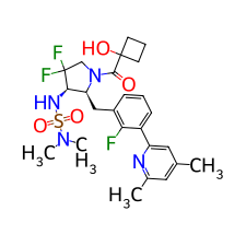 Cc1cc(C)nc(-c2cccc(C[C@H]3[C@@H](NS(=O)(=O)N(C)C)C(F)(F)CN3C(=O)C3(O)CCC3)c2F)c1